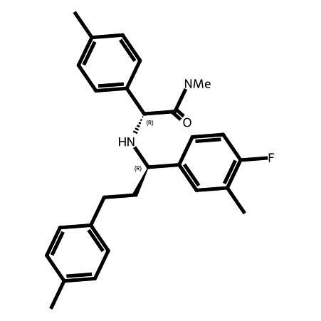 CNC(=O)[C@H](N[C@H](CCc1ccc(C)cc1)c1ccc(F)c(C)c1)c1ccc(C)cc1